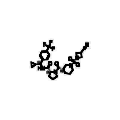 N#CC1CN(S(=O)(=O)N2CCC[C@H](C(=O)N3CCC[C@@H]3C(=O)N[C@H](c3ccc(C(F)(F)F)cc3)C3CC3)C2)C1